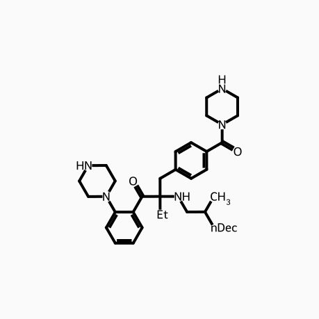 CCCCCCCCCCC(C)CNC(CC)(Cc1ccc(C(=O)N2CCNCC2)cc1)C(=O)c1ccccc1N1CCNCC1